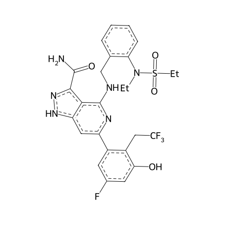 CCN(c1ccccc1CNc1nc(-c2cc(F)cc(O)c2CC(F)(F)F)cc2[nH]nc(C(N)=O)c12)S(=O)(=O)CC